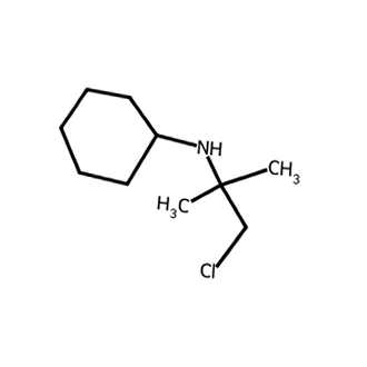 CC(C)(CCl)NC1CCCCC1